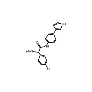 CNC(C(=O)Nc1ccc(-c2cn[nH]c2)cc1)c1ccc(Cl)cc1